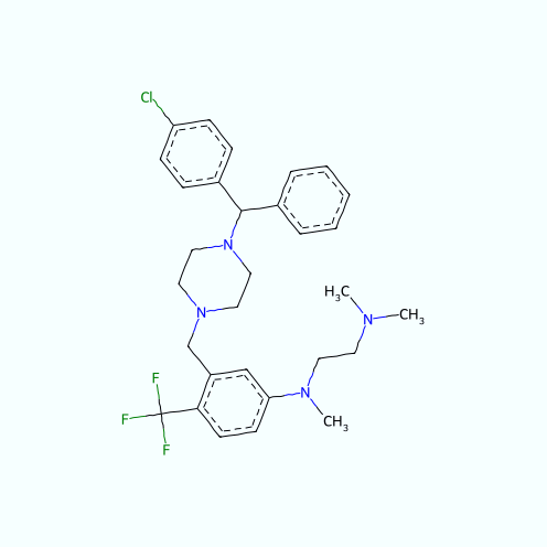 CN(C)CCN(C)c1ccc(C(F)(F)F)c(CN2CCN(C(c3ccccc3)c3ccc(Cl)cc3)CC2)c1